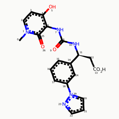 Cn1ccc(O)c(NC(=O)N[C@@H](CC(=O)O)c2cccc(-n3cccn3)c2)c1=O